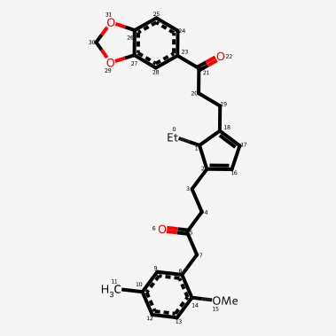 CCC1C(CCC(=O)Cc2cc(C)ccc2OC)=CC=C1CCC(=O)c1ccc2c(c1)OCO2